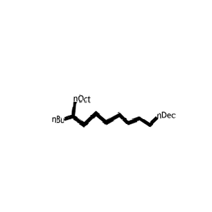 CCCCCCCCCCCCCCCC[CH]C(CCCC)CCCCCCCC